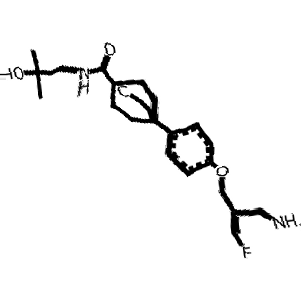 CC(C)(O)CNC(=O)C12CCC(c3ccc(OC/C(=C/F)CN)cc3)(CC1)CC2